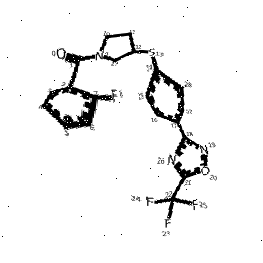 O=C(c1ccccc1F)N1CCC(Sc2ccc(-c3noc(C(F)(F)F)n3)cc2)C1